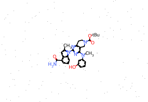 Cc1cc2c(C(N)=O)cccc2n1-c1nc2c(c(N(C)c3cccc(O)c3)n1)CN(C(=O)OC(C)(C)C)CC2